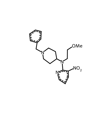 COCCN(c1ncccc1[N+](=O)[O-])C1CCN(Cc2ccccc2)CC1